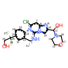 C[C@@H](Nc1nc(Cl)cc2nc(C(O)N3CCOCC3)cn12)c1cccc(C(F)(F)CO)c1